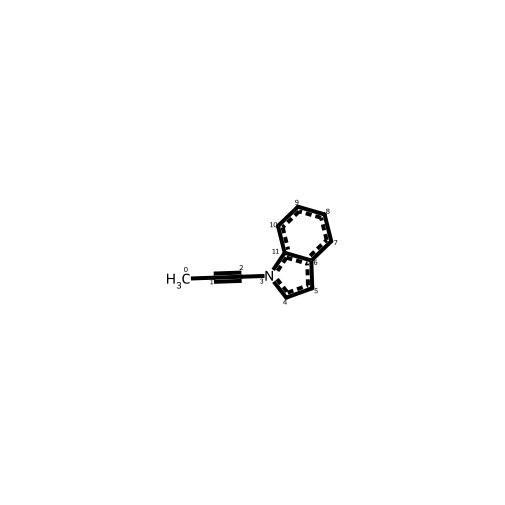 CC#Cn1ccc2ccccc21